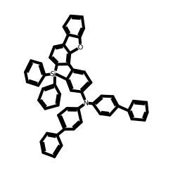 c1ccc(-c2ccc(N(c3ccc(-c4ccccc4)cc3)c3ccc4c(c3)[Si](c3ccccc3)(c3ccccc3)c3ccc5c(oc6ccccc65)c3-4)cc2)cc1